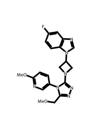 COCc1nnc(N2CC(n3cnc4cc(F)ccc43)C2)n1-c1ccc(OC)nc1